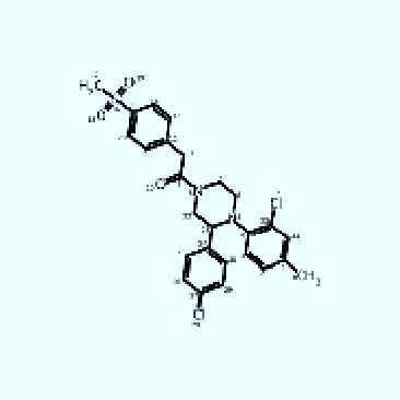 Cc1ccc(N2CCN(C(=O)Cc3ccc(S(C)(=O)=O)cc3)CC2c2ccc(Cl)cc2)c(Cl)c1